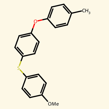 COc1ccc(Sc2ccc(Oc3ccc(C)cc3)cc2)cc1